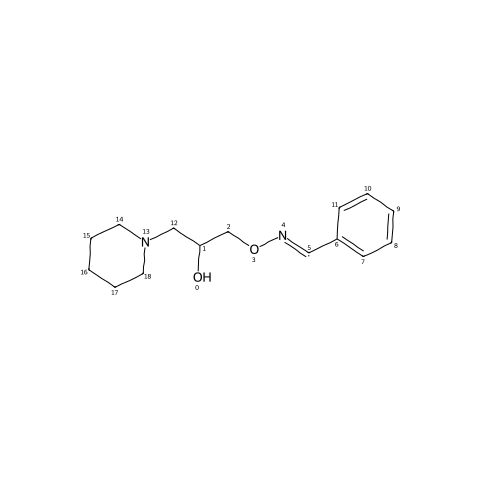 OC(CON=[C]c1ccccc1)CN1CCCCC1